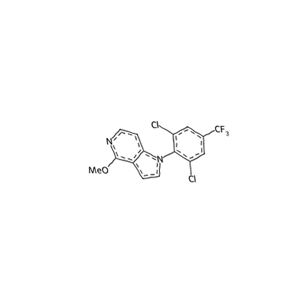 COc1nccc2c1ccn2-c1c(Cl)cc(C(F)(F)F)cc1Cl